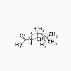 CC(=O)NCC(C)(C)C[N+](C)(C)C